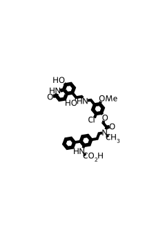 COc1cc(OCC(=O)N(C)CCc2ccc(-c3ccccc3)c(NC(=O)O)c2)c(Cl)cc1CNC[C@H](O)c1ccc(O)c2[nH]c(=O)ccc12